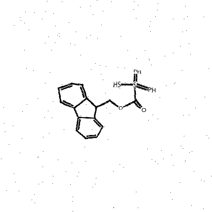 O=C(OCC1c2ccccc2-c2ccccc21)S(=P)(=P)S